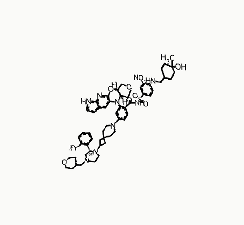 CC(C)c1ccccc1[C@@H]1CN(CC2CCOCC2)CCN1C1CC2(CCN(c3ccc(C(=O)NS(=O)(=O)c4ccc(NCC5CCC(C)(O)CC5)c([N+](=O)[O-])c4)c(N4c5cc6cc[nH]c6nc5O[C@H]5COCC[C@@H]54)c3)CC2)C1